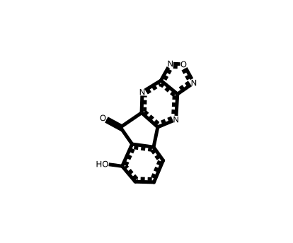 O=C1c2nc3nonc3nc2-c2cccc(O)c21